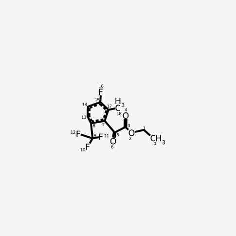 CCOC(=O)C(=O)c1c(C(F)(F)F)ccc(F)c1C